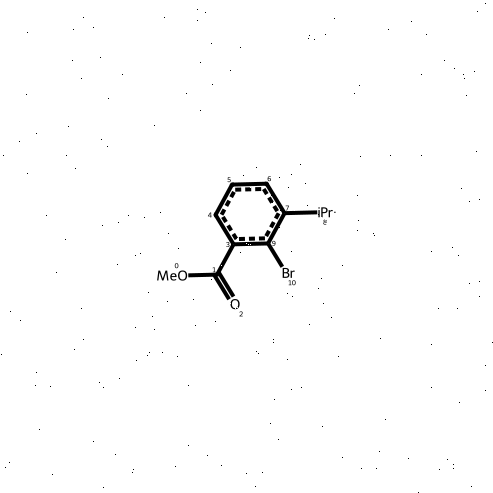 COC(=O)c1cccc([C](C)C)c1Br